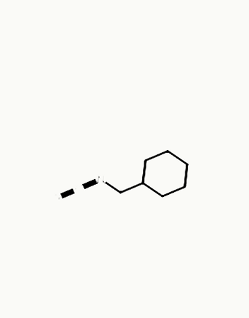 O=C=NCC1C[CH]CCC1